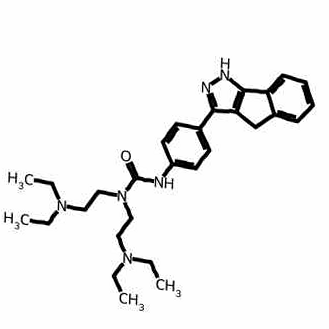 CCN(CC)CCN(CCN(CC)CC)C(=O)Nc1ccc(-c2n[nH]c3c2Cc2ccccc2-3)cc1